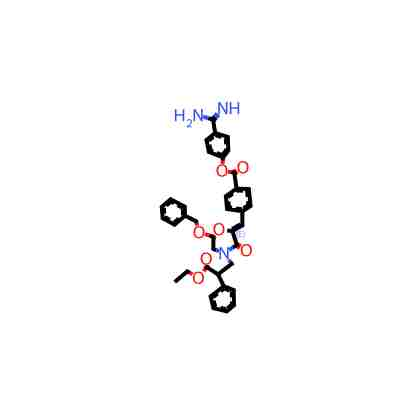 CCOC(=O)C(CN(CC(=O)OCc1ccccc1)C(=O)/C(C)=C/c1ccc(C(=O)Oc2ccc(C(=N)N)cc2)cc1)c1ccccc1